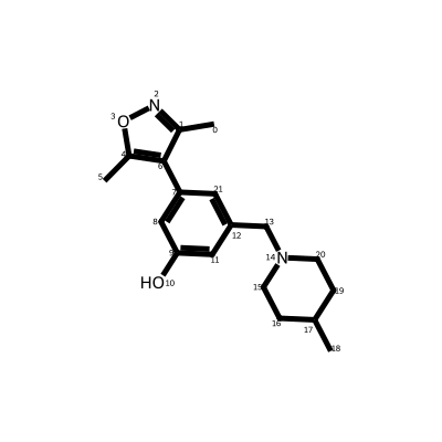 Cc1noc(C)c1-c1cc(O)cc(CN2CCC(C)CC2)c1